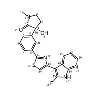 CN1CC[C@@](O)(c2cccc(-c3nc(-c4c(F)[nH]c5ncccc45)cs3)c2)C1=O